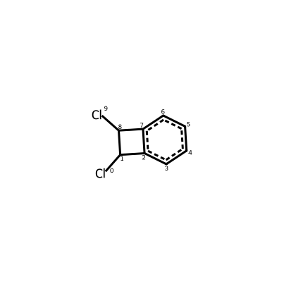 ClC1c2ccccc2C1Cl